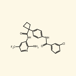 Nc1ncc(C(F)(F)F)cc1NC(=O)C1(c2ccc(NC(=O)c3cccc(Cl)c3)cc2)CCC1